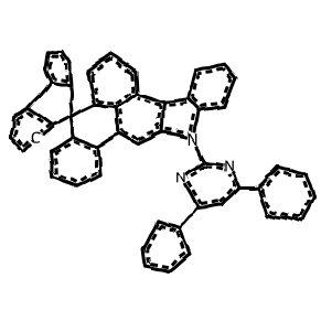 c1ccc(-c2cc(-c3ccccc3)nc(-n3c4ccccc4c4c5cccc6c5c(cc43)-c3ccccc3C63c4ccccc4-c4ccccc43)n2)cc1